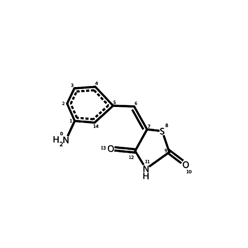 Nc1cccc(C=C2SC(=O)NC2=O)c1